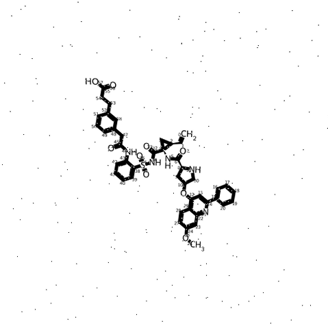 C=C[C@@H]1C[C@]1(NC(=O)[C@@H]1CC(Oc2cc(-c3ccccc3)nc3cc(OC)ccc23)CN1)C(=O)NS(=O)(=O)c1ccccc1NC(=O)Cc1cccc(CCC(=O)O)c1